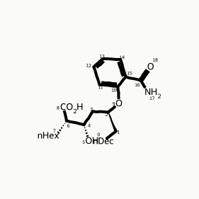 CCCCCCCCCCC[C@@H](C[C@H](O)[C@H](CCCCCC)C(=O)O)Oc1ccccc1C(N)=O